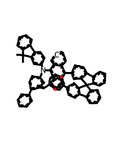 C=Cc1cccc(-c2ccc3c(c2)C2(c4ccccc4-3)c3ccccc3-c3ccc(-c4c5ccccc5c(N(c5ccc(-c6ccccc6)cc5)c5ccc6c(c5)C(C)(C)c5ccccc5-6)c5ccccc45)cc32)c1